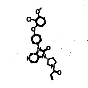 C=CC(=O)N1CC[C@@H](n2c(=O)n(-c3ccc(Oc4cccc(OC)c4Cl)cc3)c3cnccc32)C1